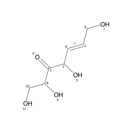 O=C(C(O)/C=C/CO)C(O)CO